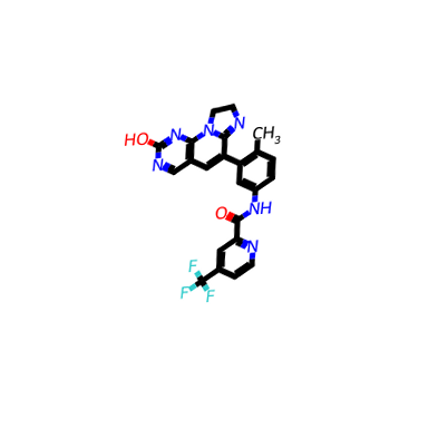 Cc1ccc(NC(=O)c2cc(C(F)(F)F)ccn2)cc1C1=Cc2cnc(O)nc2N2CCN=C12